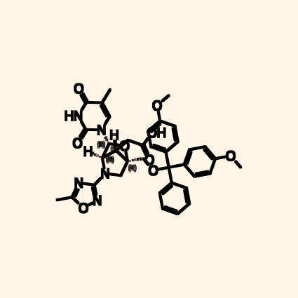 COc1ccc(C(OC[C@@]23CN(c4noc(C)n4)[C@@H]([C@H](n4cc(C)c(=O)[nH]c4=O)O2)[C@@H]3CC(=O)O)(c2ccccc2)c2ccc(OC)cc2)cc1